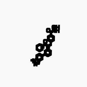 Cn1ncc2cc(-c3cccc(N(Cc4ccc(C(=O)NO)cc4)C(=O)N4CCCCC4)c3)ccc21